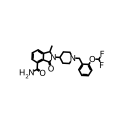 CC1c2cccc(C(N)=O)c2C(=O)N1C1CCN(Cc2ccccc2OC(F)F)CC1